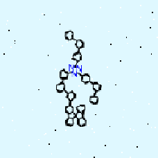 c1ccc(-c2cccc(-c3ccc(-c4nc(-c5ccc(-c6cccc(-c7ccccc7)c6)cc5)nc(-c5cccc(-c6cccc(-c7cccc(-c8ccc9c(c8)C8(c%10ccccc%10-c%10ccccc%108)c8ccccc8-9)c7)c6)c5)n4)cc3)c2)cc1